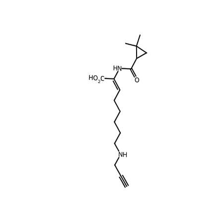 C#CCNCCCCCC=C(NC(=O)C1CC1(C)C)C(=O)O